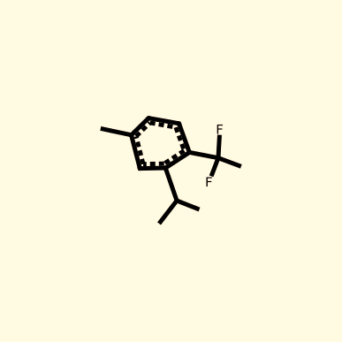 Cc1ccc(C(C)(F)F)c(C(C)C)c1